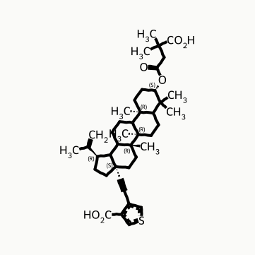 C=C(C)[C@@H]1CC[C@]2(C#Cc3cscc3C(=O)O)CC[C@]3(C)C(CCC4[C@@]5(C)CC[C@H](OC(=O)CC(C)(C)C(=O)O)C(C)(C)C5CC[C@]43C)C12